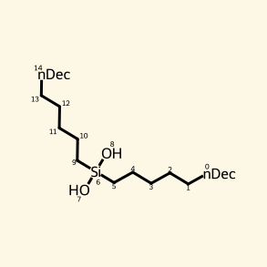 CCCCCCCCCCCCCCC[Si](O)(O)CCCCCCCCCCCCCCC